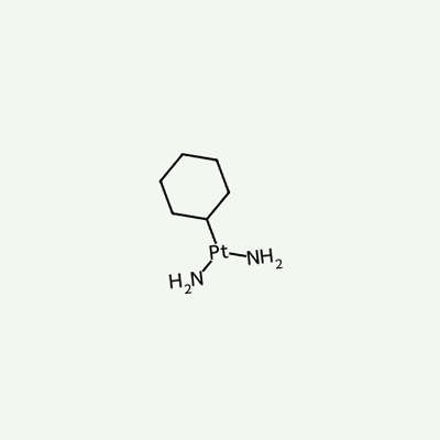 [NH2][Pt]([NH2])[CH]1CCCCC1